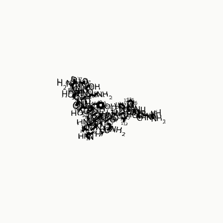 CSCC[C@H](NC(=O)[C@H](Cc1c[nH]cn1)NC(=O)[C@H](CC(C)C)NC(=O)[C@H](C)NC(=O)[C@H](CC(=O)O)NC(=O)[C@H](Cc1ccc(O)cc1)NC(=O)[C@@H](NC(=O)[C@H](CC(=O)O)NC(=O)[C@H](CCCCN)NC(=O)[C@@H](NC(=O)[C@H](C)NC(=O)[C@@H](N)[C@@H](C)O)[C@@H](C)O)[C@@H](C)O)C(=O)N[C@@H](CCC(N)=O)C(=O)N[C@@H](C)C(=O)N[C@@H](CC(C)C)C(=O)N1CCC[C@H]1C(=O)N1CCC[C@H]1C(=O)N[C@@H](CCCNC(=N)N)C(=O)O